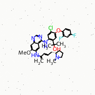 C=C(/C=C/C[C@@H]1CCCN1C)Nc1cc2c(Nc3cc(Cl)c(Oc4ccc(F)cc4F)cc3C(C)(C)O)ncnc2cc1OC